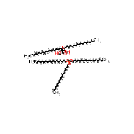 CCCCCCCCCCCCCCCCCCOC(CCCCCCCCCCCCCCCCCC)C(CO)(CO)CO.CCCCCCCCCCCCCCCCCCOP(OCCCCCCCCCCCCCCCCCC)OCCCCCCCCCCCCCCCCCC